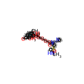 CNC(=O)c1ccccc1Sc1ccc2c(/C=C/c3ccccn3)nn(C(=O)OCCOCCOCCOC(=O)OCC(=O)[C@@]3(O)[C@H](C)C[C@H]4[C@@H]5CCC6=CC(=O)C=C[C@]6(C)[C@@]5(F)[C@@H](O)C[C@@]43C)c2c1